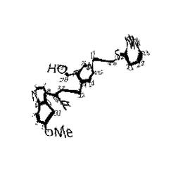 COc1ccc2nccc(C(F)CC[C@@H]3CCN(CCSc4cccnn4)C[C@@H]3CO)c2c1